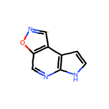 [c]1noc2cnc3[nH]ccc3c12